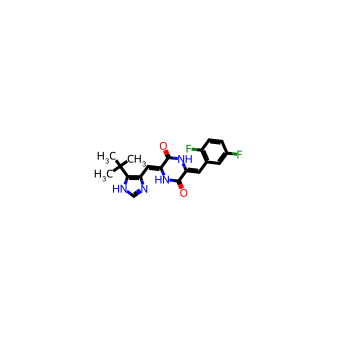 CC(C)(C)c1[nH]cnc1/C=c1\[nH]c(=O)/c(=C/c2cc(F)ccc2F)[nH]c1=O